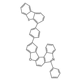 c1ccc(-c2nc3ccccc3c3c2ccc2oc4ccc(-c5ccc(-c6cccc7c6sc6ccccc67)cc5)cc4c23)cc1